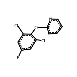 Fc1cc(Cl)c(Oc2ccccn2)c(Cl)c1